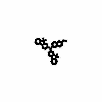 CCc1ccc2cc(N(C3=CCC4C(=C3)C(C)(C)c3ccccc34)c3ccc4c(c3)C(C)(C)c3ccccc3-4)ccc2c1